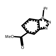 COC(=O)c1ccc2c(c1)nnn2C(C)C